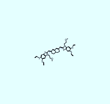 C=CSc1cc2c(cc1SC=C)N(CCOC)/C(=C/C1=CC3=C/C(=C/c4sc5cc(SC=C)c(SC=C)cc5[n+]4CCOC)CCC3CC1)S2